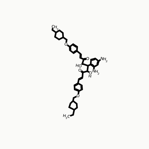 CCC1CCC(COc2ccc(/C=C/C(=O)C(O)C(c3ccc(N)cc3N)C(O)C(=O)/C=C/c3ccc(OCC4CCC(CC)CC4)cc3)cc2)CC1